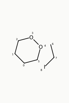 C1CCOOC1.CCI